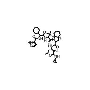 CCC[C@H](NC(=O)[C@@H]1C[C@@H]2CCCC[C@@H]2N1C(=O)[C@@H](NC(=O)C(NC(=O)c1ccn[nH]1)C1CCCCC1)C(C)(C)C)C(=O)C(=O)NC1CC1